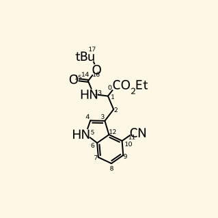 CCOC(=O)C(Cc1c[nH]c2cccc(C#N)c12)NC(=O)OC(C)(C)C